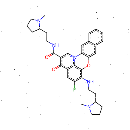 CN1CCCC1CCNC(=O)c1cn2c3c(c(NCCC4CCCN4C)c(F)cc3c1=O)Oc1cc3ccccc3cc1-2